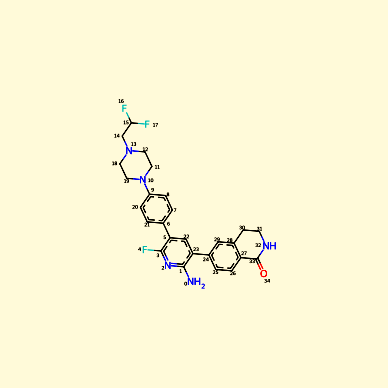 Nc1nc(F)c(-c2ccc(N3CCN(CC(F)F)CC3)cc2)cc1-c1ccc2c(c1)CCNC2=O